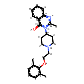 Cc1cccc(C)c1OCCN1CCC(n2c(C)nc3ccccc3c2=O)CC1